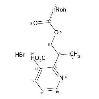 Br.CCCCCCCCCC(=O)OCC(C)c1ncccc1C(=O)O